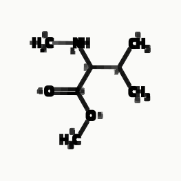 [CH2]NC(C(=O)OC)C(C)C